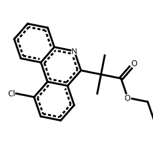 CCOC(=O)C(C)(C)c1nc2ccccc2c2c(Cl)cccc12